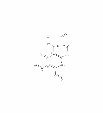 C=Cc1ccc2oc(C=C)c(C=C)c(=O)c2c1C=C